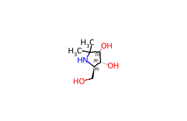 CC1(C)N[C@H](CO)[C@@H](O)[C@H]1O